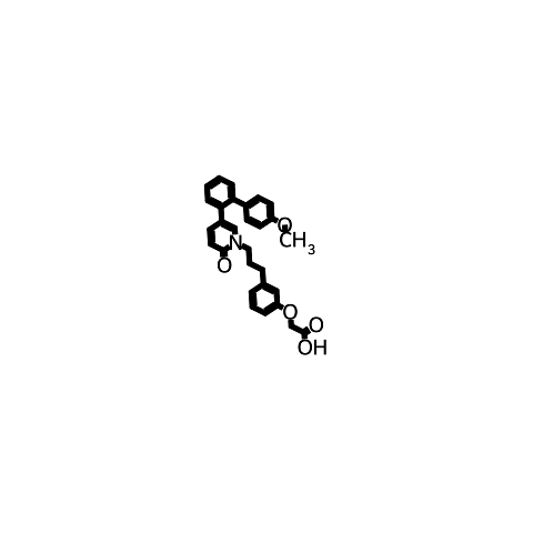 COc1ccc(-c2ccccc2-c2ccc(=O)n(CCCc3cccc(OCC(=O)O)c3)c2)cc1